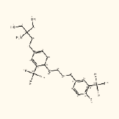 NC(CO)(CO)CCC1=CCC(OCCCc2ccc(F)c(C(F)(F)F)c2)C(C(F)(F)F)=C1